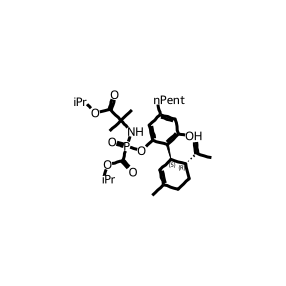 C=C(C)[C@@H]1CCC(C)=C[C@H]1c1c(O)cc(CCCCC)cc1OP(=O)(NC(C)(C)C(=O)OC(C)C)C(=O)OC(C)C